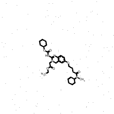 CCOC(=O)CN1Cc2cc(OCCCC(=O)N(C)C3CCCCC3)ccc2N=C1NC(=O)OC1CCCCC1